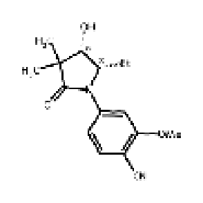 CC[C@H]1[C@@H](O)C(C)(C)C(=O)N1c1ccc(C#N)c(OC)c1